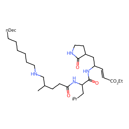 CCCCCCCCCCCCCCCCNCC(C)CCC(=O)NC(CC(C)C)C(=O)NC(C=CC(=O)OCC)CC1CCNC1=O